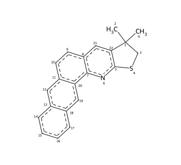 CC1(C)CSc2nc3c(ccc4cc5ccccc5cc43)cc21